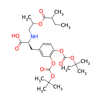 CCC(C)C(=O)OC(C)CN[C@@H](Cc1ccc(OC(=O)OC(C)(C)C)c(OC(=O)OC(C)(C)C)c1)C(=O)O